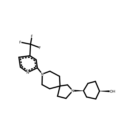 O[C@H]1CC[C@@H](N2CCC3(CCN(c4cc(C(F)(F)F)ccn4)CC3)C2)CC1